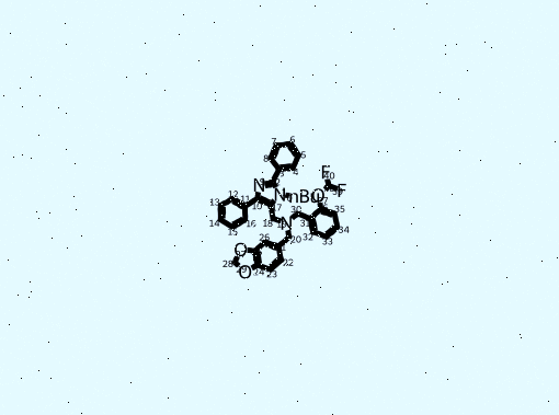 CCCCn1c(-c2ccccc2)nc(-c2ccccc2)c1CN(Cc1ccc2c(c1)OCO2)Cc1ccccc1OC(F)F